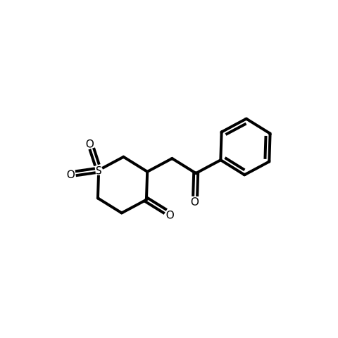 O=C(CC1CS(=O)(=O)CCC1=O)c1ccccc1